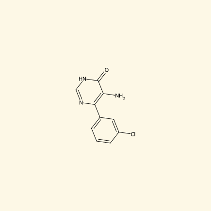 Nc1c(-c2cccc(Cl)c2)nc[nH]c1=O